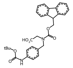 CC(C)(C)OC(=O)Nc1ccc(CN(CC(=O)O)C(=O)OCC2c3ccccc3-c3ccccc32)cc1